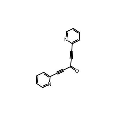 O=C(C#Cc1ccccn1)C#Cc1ccccn1